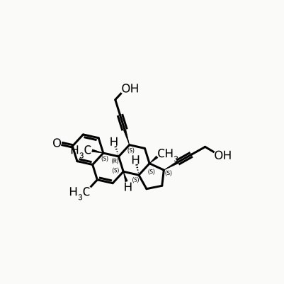 CC1=C[C@@H]2[C@H]([C@@H](C#CCO)C[C@]3(C)[C@@H](C#CCO)CC[C@@H]23)[C@@]2(C)C=CC(=O)C=C12